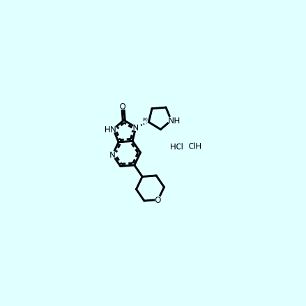 Cl.Cl.O=c1[nH]c2ncc(C3CCOCC3)cc2n1[C@@H]1CCNC1